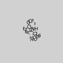 CCc1cc(OC(F)(F)F)cc2[nH]c(-c3ccc(N4SCCC4(O)O)cc3)c(C#N)c12